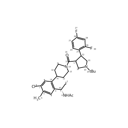 CC(=O)N[C@@H](I)c1cc(C)c(Cl)cc1C1CCN(C(=O)C2CN(C(C)(C)C)CC2c2ccc(F)cc2F)CC1